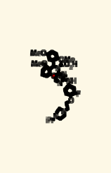 COc1ccc(OC)c(C(c2c(OC)cccc2OC)N(C(=O)O)c2ccnc(Nc3ccc(OCCN4CCN(C(C)C)CC4)c(F)c3)n2)c1